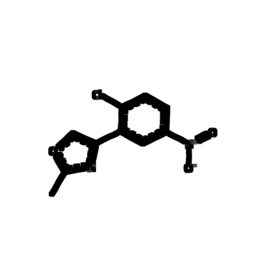 Cc1nc(-c2cc([N+](=O)[O-])ccc2Cl)co1